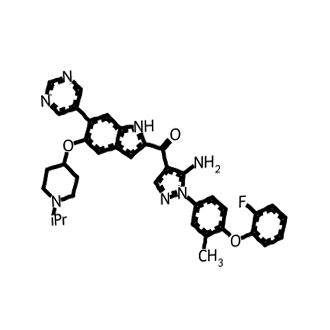 Cc1cc(-n2ncc(C(=O)c3cc4cc(OC5CCN(C(C)C)CC5)c(-c5cncnc5)cc4[nH]3)c2N)ccc1Oc1ccccc1F